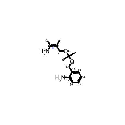 C/C(N)=C(\C)COC(C)(C)OCc1ccccc1N